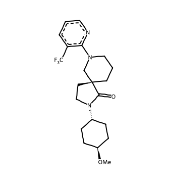 CO[C@H]1CC[C@H](N2CC[C@@]3(CCCN(c4ncccc4C(F)(F)F)C3)C2=O)CC1